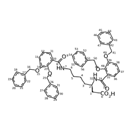 O=C(O)C[C@@H](CCCCNC(=O)c1cccc(OCc2ccccc2)c1OCc1ccccc1)NC(=O)c1cccc(OCc2ccccc2)c1OCc1ccccc1